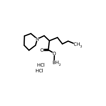 BOC(=O)C(CCCC)CN1CCCCC1.Cl.Cl